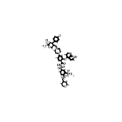 CC1(C)CC(c2ccc(Cl)cc2)=C(CN2CCN(c3ccc(C(=O)NS(=O)(=O)c4ccc(NCC5CCOCC5)c(S(=O)(=O)C(F)(F)F)c4)c(Oc4ccnc5[nH]ccc45)c3)CC2)CO1